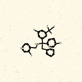 Fc1cc(C(F)(F)F)cc(C(Cc2ccccc2)(NCc2ccncc2F)c2ccc(Cl)cn2)c1